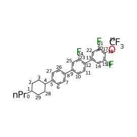 CCCC1CCC(c2ccc(-c3ccc(-c4cc(F)c(OC(F)(F)F)c(F)c4)c(F)c3)cc2)CC1